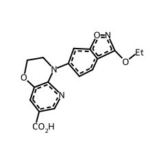 CCOc1noc2cc(N3CCOc4cc(C(=O)O)cnc43)ccc12